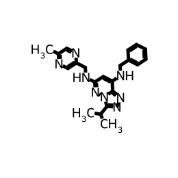 Cc1cnc(CNc2cc(NCc3ccccc3)c3nnc(C(C)C)n3n2)cn1